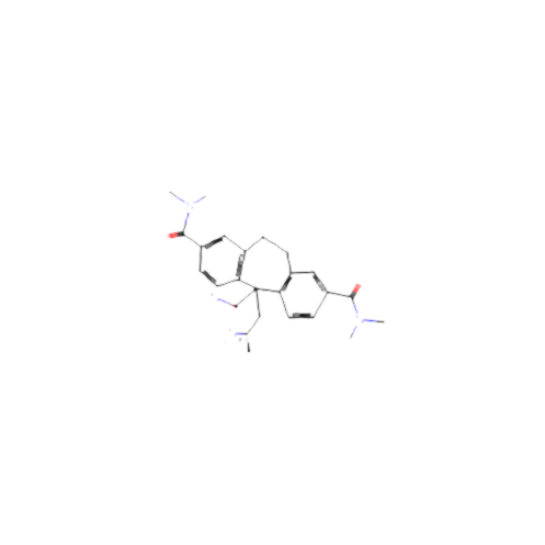 C[C@@H](N)CC1(C(N)=O)c2ccc(C(=O)N(C)C)cc2CCc2cc(C(=O)N(C)C)ccc21